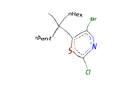 CCCCCCC(C)(CCCCC)c1sc(Cl)nc1Br